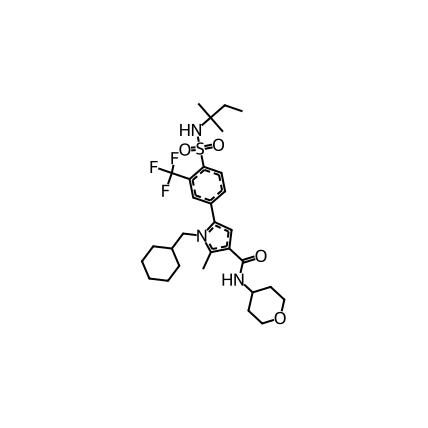 CCC(C)(C)NS(=O)(=O)c1ccc(-c2cc(C(=O)NC3CCOCC3)c(C)n2CC2CCCCC2)cc1C(F)(F)F